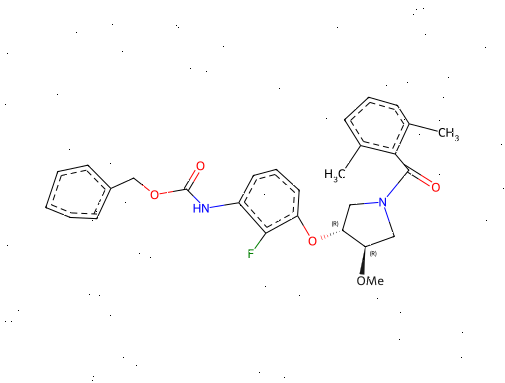 CO[C@@H]1CN(C(=O)c2c(C)cccc2C)C[C@H]1Oc1cccc(NC(=O)OCc2ccccc2)c1F